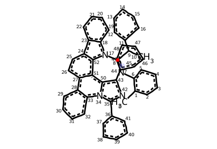 Cc1ccccc1/N=C(\C(C)c1ccccc1)n1c2ccccc2c2ccc3c4ccccc4n4c(-c5ccccc5)nc(-c5ccccc5)c4c3c21